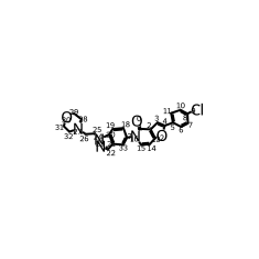 O=c1c2cc(-c3ccc(Cl)cc3)oc2ccn1-c1ccc2c(cnn2CCN2CCOCC2)c1